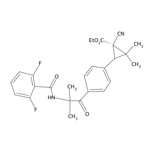 CCOC(=O)[C@@]1(C#N)C(c2ccc(C(=O)C(C)(C)NC(=O)c3c(F)cccc3F)cc2)C1(C)C